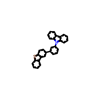 c1cc(-c2ccc3sc4ccccc4c3c2)cc(-n2c3ccccc3c3ccccc32)c1